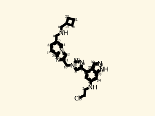 ClCCNc1cc(-c2cn(Cc3cn4cc(CNCC5CCC5)ccc4n3)nn2)c2cn[nH]c2c1